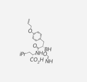 C=CCOc1ccc(C[C@H](BOC=N)C(=O)N[C@@H](CC(C)C)C(=O)O)cc1